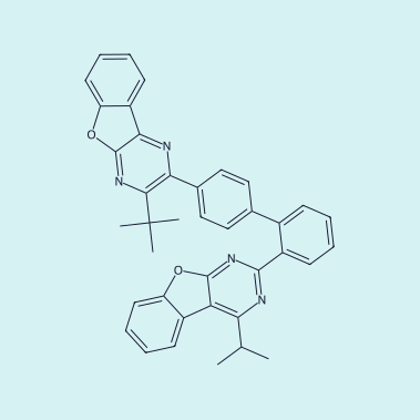 CC(C)c1nc(-c2ccccc2-c2ccc(-c3nc4c(nc3C(C)(C)C)oc3ccccc34)cc2)nc2oc3ccccc3c12